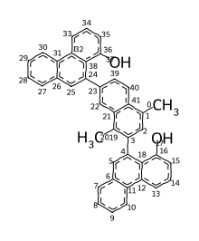 Cc1cc(-c2cc3ccccc3c3cccc(O)c23)c(C)c2cc(-c3cc4ccccc4c4cccc(O)c34)ccc12